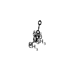 COCCCN1CCN2C(=O)N(c3c(F)cc(C#Cc4ccccc4)cc3F)C(=O)C[C@@]2(C)C1=O